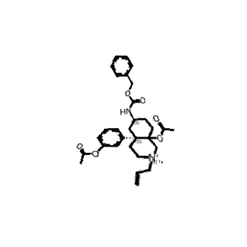 C=CC[N@@+]1(C)CC[C@@]2(c3cccc(OC(C)=O)c3)C[C@@H](NC(=O)OCc3ccccc3)CCC2(OC(C)=O)C1